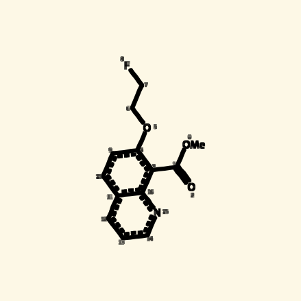 COC(=O)c1c(OCCF)ccc2cccnc12